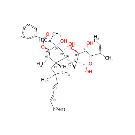 C=C(C)[C@@]1(O)[C@H](O)[C@H]([C@@H]2C[C@]2(CO)[C@@H](O)[C@H](O)C(=O)/C(C)=C\C)[C@](C)(CC(C)(C)/C=C/C=C/CCCCC)[C@H](C)[C@H]1OC(=O)c1ccccc1